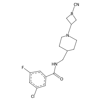 N#CB1CC(N2CCC(CNC(=O)c3cc(F)cc(Cl)c3)CC2)C1